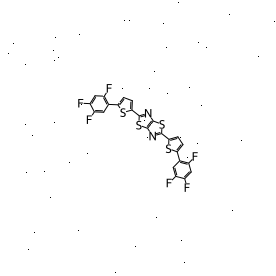 Fc1cc(F)c(-c2ccc(-c3nc4sc(-c5ccc(-c6cc(F)c(F)cc6F)s5)nc4s3)s2)cc1F